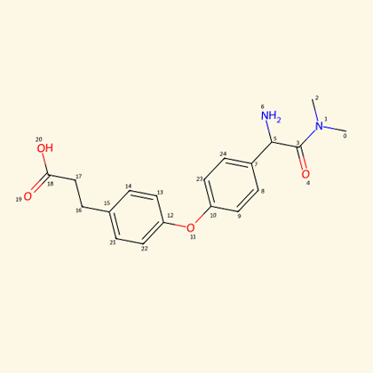 CN(C)C(=O)C(N)c1ccc(Oc2ccc(CCC(=O)O)cc2)cc1